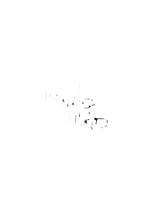 O=C(CC(Nc1nc2ccccc2[nH]1)c1cccc(C(F)(F)F)c1)N1CC[C@H](O)C1